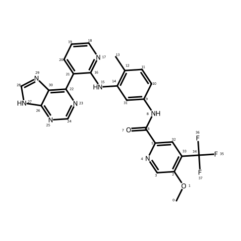 COc1cnc(C(=O)Nc2ccc(C)c(Nc3ncccc3-c3ncnc4[nH]cnc34)c2)cc1C(F)(F)F